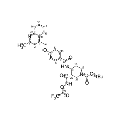 Cc1cc(COc2ccc(C(=O)N[C@H]3CCN(C(=O)OC(C)(C)C)C[C@@H]3C(=O)NOC(=O)C(F)(F)F)cc2)c2ccccc2n1